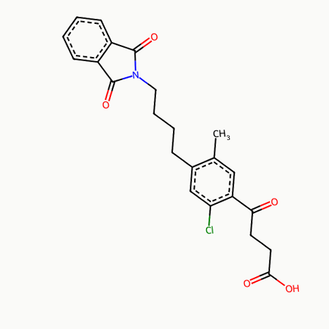 Cc1cc(C(=O)CCC(=O)O)c(Cl)cc1CCCCN1C(=O)c2ccccc2C1=O